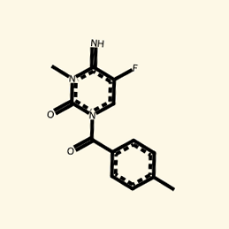 Cc1ccc(C(=O)n2cc(F)c(=N)n(C)c2=O)cc1